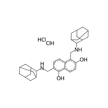 Cl.Cl.Oc1ccc2c(O)c(CNC3C4CC5CC(C4)CC3C5)ccc2c1CNC1C2CC3CC(C2)CC1C3